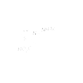 CC(=O)Nc1ccc(C(=O)O)cn1.Cc1ccsc1